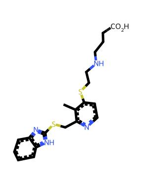 Cc1c(SCCNCCCC(=O)O)ccnc1CSc1nc2ccccc2[nH]1